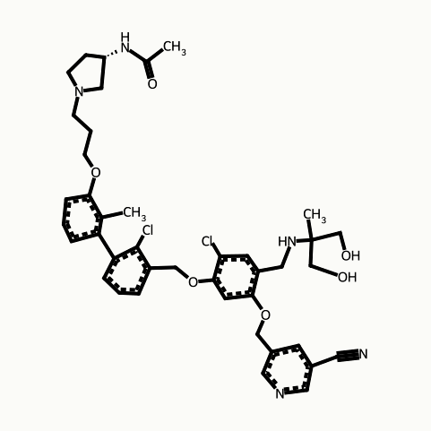 CC(=O)N[C@H]1CCN(CCCOc2cccc(-c3cccc(COc4cc(OCc5cncc(C#N)c5)c(CNC(C)(CO)CO)cc4Cl)c3Cl)c2C)C1